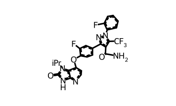 CC(C)n1c(=O)[nH]c2nccc(Oc3ccc(-c4nn(-c5ccccc5F)c(C(F)(F)F)c4C(N)=O)cc3F)c21